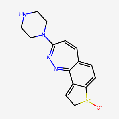 [O-][S+]1CC=c2c1ccc1c2=NN=C(N2CCNCC2)C=C1